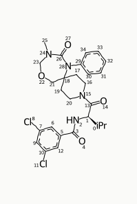 CC(C)[C@@H](NC(=O)c1cc(Cl)cc(Cl)c1)C(=O)N1CCC2(CC1)COCN(C)C(=O)N2c1ccccc1